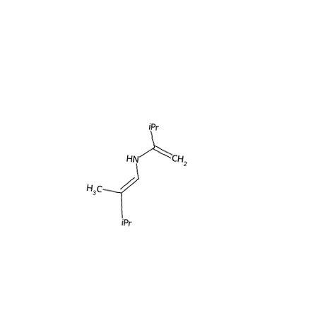 C=C(N/C=C(\C)C(C)C)C(C)C